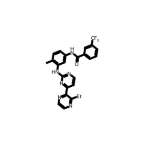 CCc1nccnc1-c1ccnc(Nc2cc(NC(=O)c3cccc(C(F)(F)F)c3)ccc2C)n1